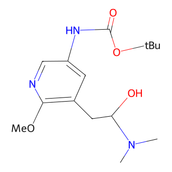 COc1ncc(NC(=O)OC(C)(C)C)cc1CC(O)N(C)C